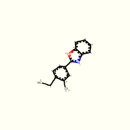 N#CCc1ccc(-c2nc3ccccc3o2)cc1C(F)(F)F